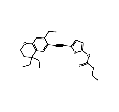 CCCC(=O)Oc1ccc(C#Cc2cc3c(cc2CC)OCCC3(CC)CC)s1